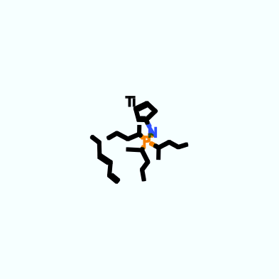 C=CC=CCC.CCCC(C)P(=NC1=CC=CC1)(C(C)CCC)C(C)CCC.[Ti]